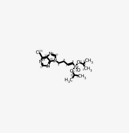 CC(C)OP(=O)(/C=C/CCn1cnc2c(Cl)ncnc21)OC(C)C